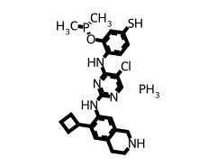 CP(C)Oc1cc(S)ccc1Nc1nc(Nc2cc3c(cc2C2CCC2)CCNC3)ncc1Cl.P